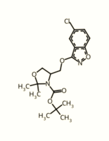 CC(C)(C)OC(=O)N1C(COc2noc3ccc(Cl)cc23)COC1(C)C